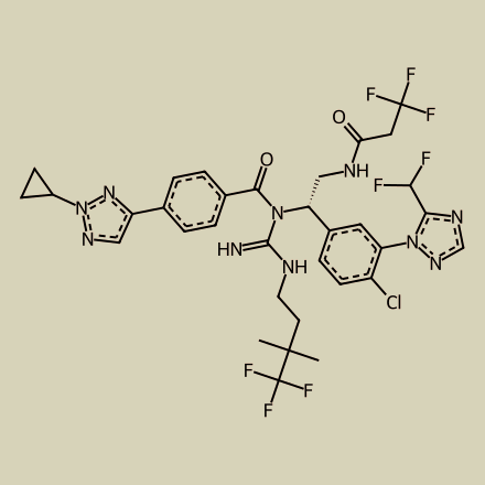 CC(C)(CCNC(=N)N(C(=O)c1ccc(-c2cnn(C3CC3)n2)cc1)[C@H](CNC(=O)CC(F)(F)F)c1ccc(Cl)c(-n2ncnc2C(F)F)c1)C(F)(F)F